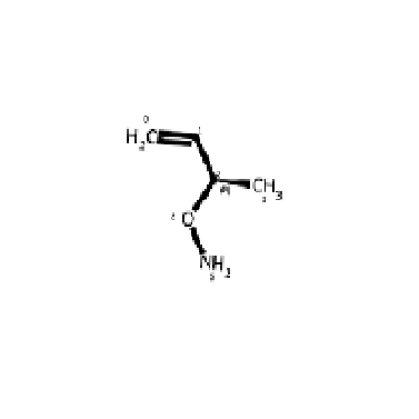 C=C[C@@H](C)ON